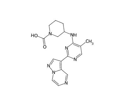 Cc1cnc(-c2cnn3ccncc23)nc1NC1CCCN(C(=O)O)C1